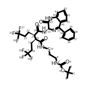 CC(C)(C)OC(=O)NCCSNC(=O)[C@@H](CCC(F)(F)F)[C@@H](CCC(F)(F)F)C(=O)N[C@H]1N=C(c2ccccc2)c2ccccc2NC1=O